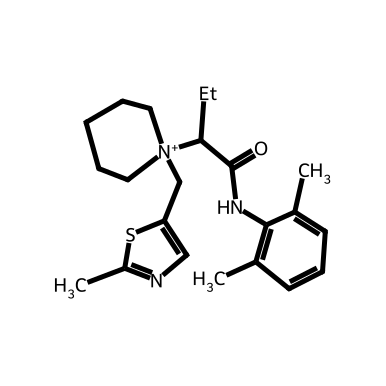 CCC(C(=O)Nc1c(C)cccc1C)[N+]1(Cc2cnc(C)s2)CCCCC1